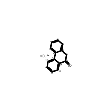 O=C1Cc2ccccc2-c2ccccc21.[Eu+3]